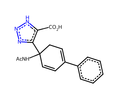 CC(=O)NC1(c2nn[nH]c2C(=O)O)C=CC(c2ccccc2)=CC1